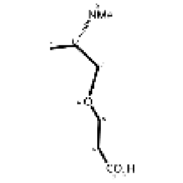 CN[C@@H](C)COCCC(=O)O